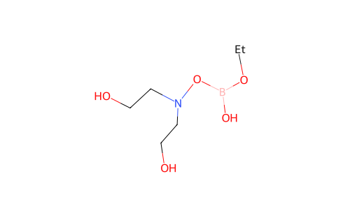 CCOB(O)ON(CCO)CCO